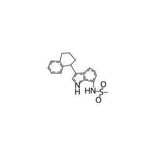 CS(=O)(=O)Nc1cccc2c(C3CCCc4ccccc43)c[nH]c12